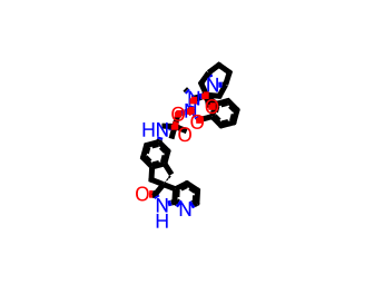 CC(=O)N1C2CCC1CC(C)(CN(CC(=O)Nc1ccc3c(c1)C[C@@]1(C3)C(=O)Nc3ncccc31)Cc1ccccc1CN(C)C(=O)OC(C)(C)C)C2